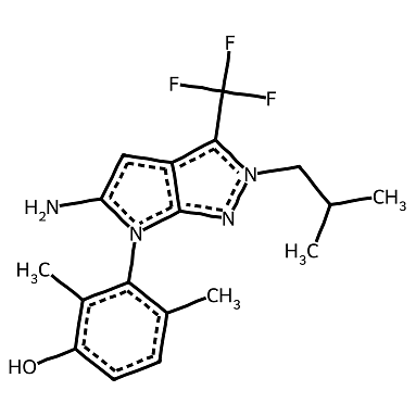 Cc1ccc(O)c(C)c1-n1c(N)cc2c(C(F)(F)F)n(CC(C)C)nc21